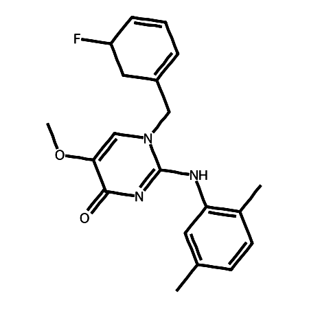 COc1cn(CC2=CC=CC(F)C2)c(Nc2cc(C)ccc2C)nc1=O